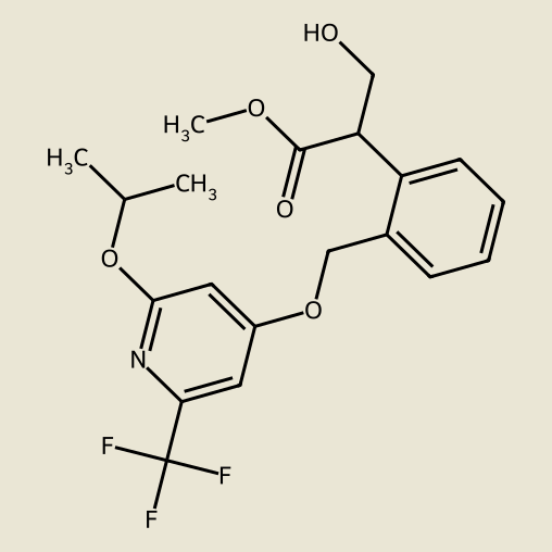 COC(=O)C(CO)c1ccccc1COc1cc(OC(C)C)nc(C(F)(F)F)c1